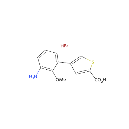 Br.COc1c(N)cccc1-c1csc(C(=O)O)c1